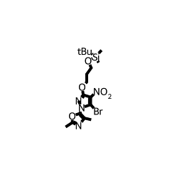 Cc1nc(C)c(-n2nc(OCCCO[Si](C)(C)C(C)(C)C)c([N+](=O)[O-])c2Br)o1